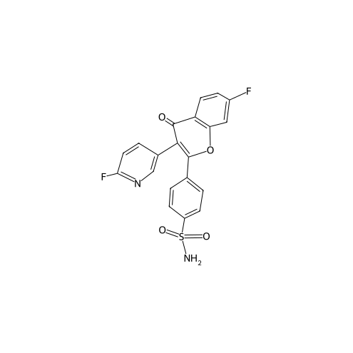 NS(=O)(=O)c1ccc(-c2oc3cc(F)ccc3c(=O)c2-c2ccc(F)nc2)cc1